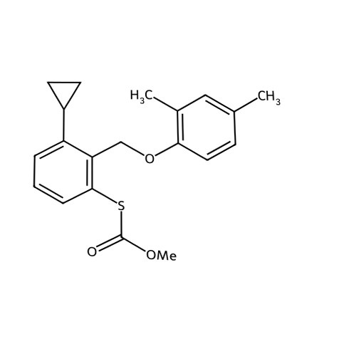 COC(=O)Sc1cccc(C2CC2)c1COc1ccc(C)cc1C